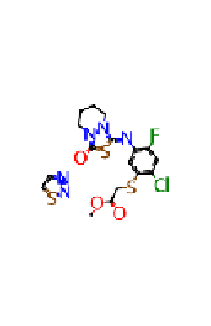 COC(=O)CSc1cc(/N=c2\sc(=O)n3n2CCCC3)c(F)cc1Cl.c1csnn1